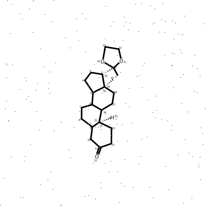 CC1([C@H]2CCC3C4CCC5CC(=O)CC[C@@H]5C4CC[C@@]32C)OCCO1